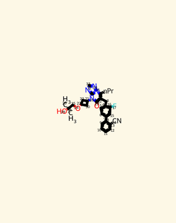 CCCc1c(Cc2ccc(-c3ccccc3C#N)cc2F)c(=O)n(C2CC(OCC(C)(C)O)C2)c2ncnn12